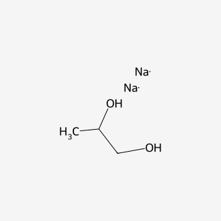 CC(O)CO.[Na].[Na]